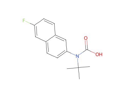 CC(C)(C)N(C(=O)O)c1ccc2cc(F)ccc2c1